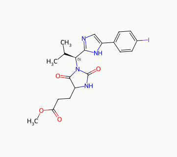 COC(=O)CCC1NC(=O)N([C@H](c2ncc(-c3ccc(I)cc3)[nH]2)C(C)C)C1=O